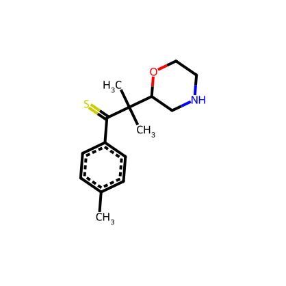 Cc1ccc(C(=S)C(C)(C)C2CNCCO2)cc1